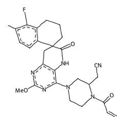 C=CC(=O)N1CCN(c2nc(OC)nc3c2NC(=O)C2(CCCc4c2ccc(C)c4F)C3)CC1CC#N